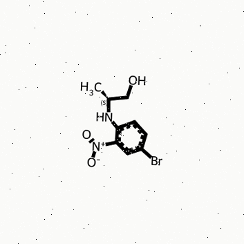 C[C@@H](CO)Nc1ccc(Br)cc1[N+](=O)[O-]